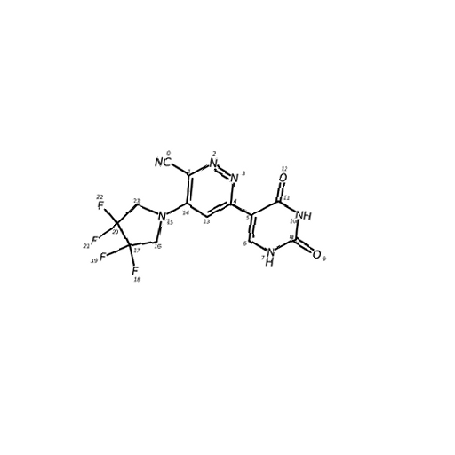 N#Cc1nnc(-c2c[nH]c(=O)[nH]c2=O)cc1N1CC(F)(F)C(F)(F)C1